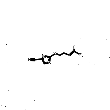 N#Cc1csc(SCCC=C(F)F)n1